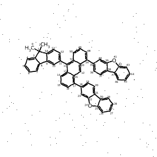 CC1(C)c2ccccc2-c2cc(-c3c4cccc(-c5ccc6c(c5)oc5ccccc56)c4cc4c(-c5ccc6c(c5)oc5ccccc56)cccc34)ccc21